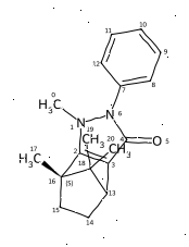 Cn1c2c(c(=O)n1-c1ccccc1)C1CC[C@@]2(C)C1(C)C